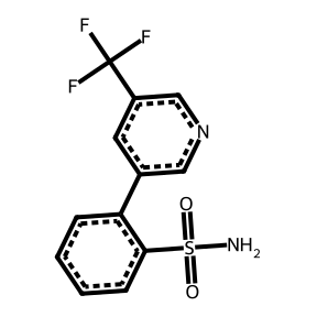 NS(=O)(=O)c1ccccc1-c1cncc(C(F)(F)F)c1